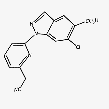 N#CCc1cccc(-n2ncc3cc(C(=O)O)c(Cl)cc32)n1